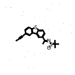 CC#Cc1ccc2sc3ccc(/C(C)=N/[S@+]([O-])C(C)(C)C)cc3c2c1